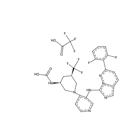 O=C(O)C(F)(F)F.O=C(O)N[C@H]1C[C@@H](C(F)(F)F)CN(c2ccncc2Nc2ncc3ccc(-c4c(F)cccc4F)nn23)C1